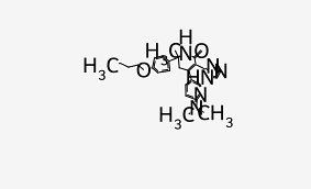 CCCCOc1ccc(C2(C)CC(c3ccc(N(C)C)nc3)=C(c3nnc[nH]3)C(=O)N2)cc1